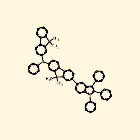 CC1(C)c2ccccc2-c2ccc(N(c3ccccc3)c3ccc4c(c3)C(C)(C)c3cc(-c5ccc6c(c5)c(-c5ccccc5)c(-c5ccccc5)n6-c5ccccc5)ccc3-4)cc21